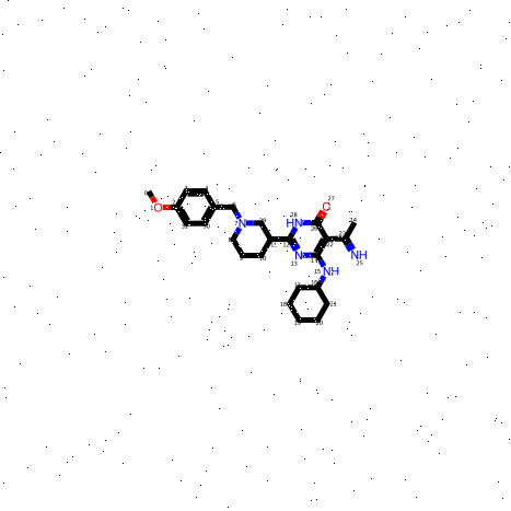 COc1ccc(CN2CCCC(c3nc(NC4CCCCC4)c(C(C)=N)c(=O)[nH]3)C2)cc1